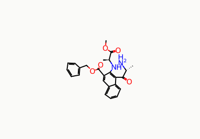 COC(=O)[C@H](C)Nc1c(C(=O)OCc2ccccc2)cc2ccccc2c1C(=O)[C@@H](C)N